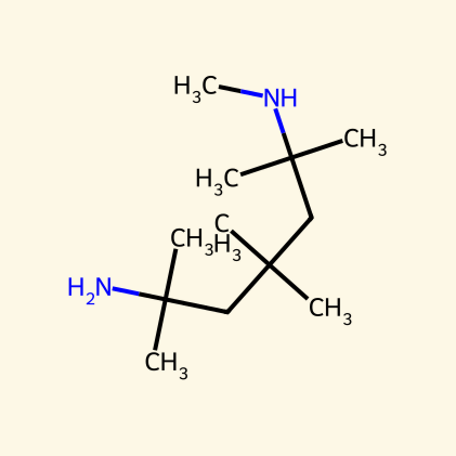 CNC(C)(C)CC(C)(C)CC(C)(C)N